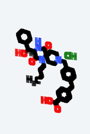 CCCCN1C(=O)[C@@H]([C@H](O)C2CCCCC2)NC(=O)C12CCN(Cc1ccc(Cc3ccc(C(=O)O)cc3)cc1)CC2.Cl